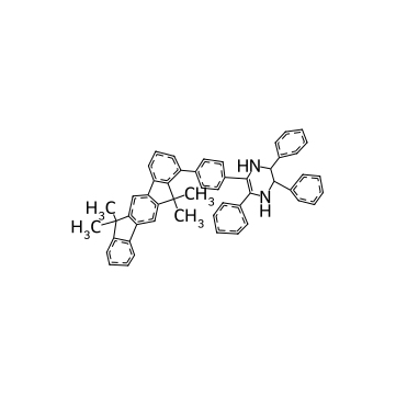 CC1(C)c2ccccc2-c2cc3c(cc21)-c1cccc(-c2ccc(C4=C(c5ccccc5)NC(c5ccccc5)C(c5ccccc5)N4)cc2)c1C3(C)C